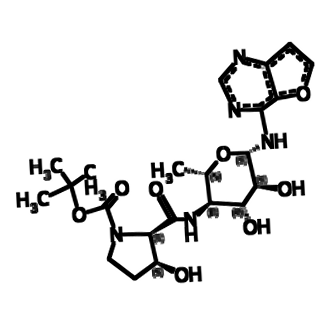 C[C@@H]1O[C@H](Nc2ncnc3ccoc23)[C@@H](O)[C@H](O)[C@H]1NC(=O)[C@H]1[C@@H](O)CCN1C(=O)OC(C)(C)C